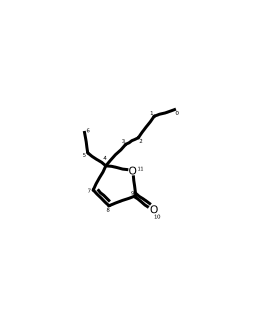 CCCCC1(CC)C=CC(=O)O1